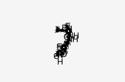 CC(F)(F)c1ncc(NC(=O)NC2CN(c3cc(F)c(C4CCC(=O)NC4=O)c(F)c3)C2)cc1C#CC1CC1